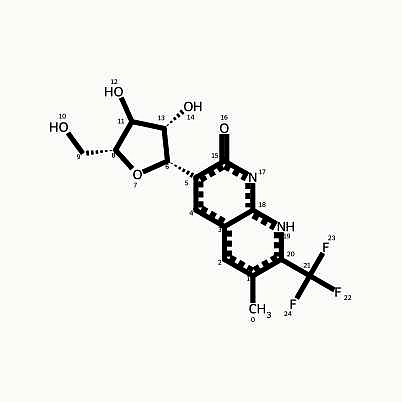 Cc1cc2cc([C@@H]3O[C@H](CO)C(O)[C@@H]3O)c(=O)nc-2[nH]c1C(F)(F)F